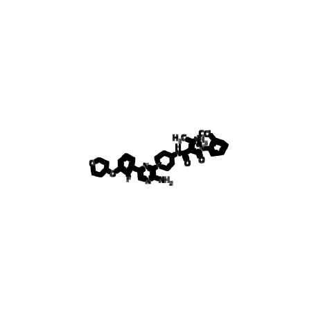 Cc1c(C(=O)NC2CCN(c3nc(-c4cccc(OC5CCOCC5)c4F)cnc3N)CC2)c(=O)n(-c2ccccc2Cl)n1C